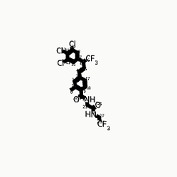 Cc1cc(/C=C/C(c2cc(Cl)c(Cl)c(Cl)c2)C(F)(F)F)ccc1C(=O)NCC(=O)NCC(F)(F)F